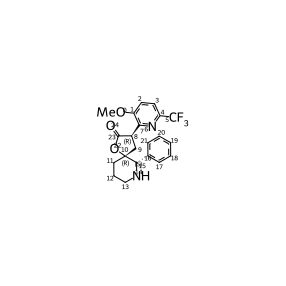 COc1ccc(C(F)(F)F)nc1[C@H]1C[C@@]2(CCCN[C@H]2c2ccccc2)OC1=O